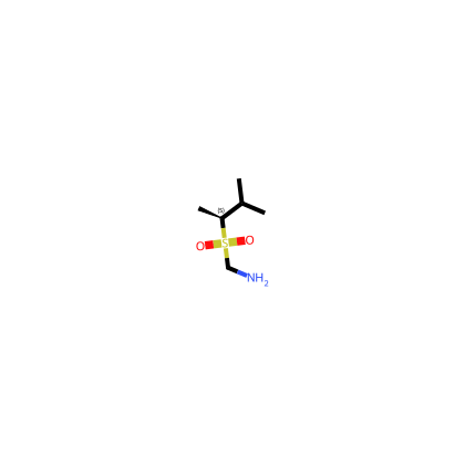 CC(C)[C@H](C)S(=O)(=O)CN